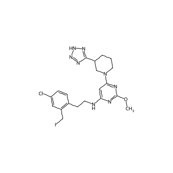 COc1nc(NCCc2ccc(Cl)cc2CI)cc(N2CCCC(c3nn[nH]n3)C2)n1